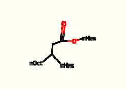 CCCCCCCCC(CCCCCC)CC(=O)OCCCCCC